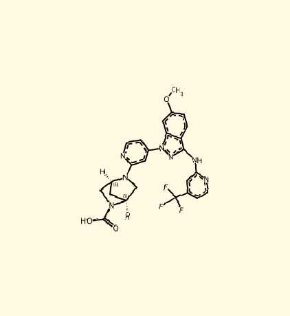 COc1ccc2c(Nc3cc(C(F)(F)F)ccn3)nn(-c3ccnc(N4C[C@@H]5C[C@H]4CN5C(=O)O)c3)c2c1